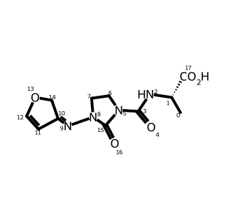 C[C@H](NC(=O)N1CCN(N=C2C=COC2)C1=O)C(=O)O